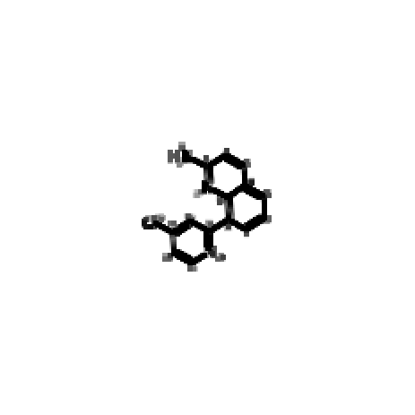 Nc1ccc2cccc(-c3cc(Cl)ccn3)c2n1